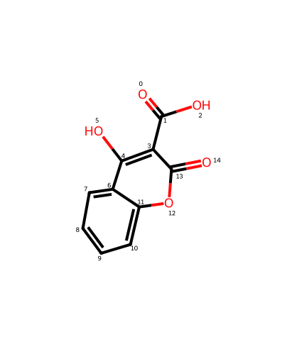 O=C(O)c1c(O)c2ccccc2oc1=O